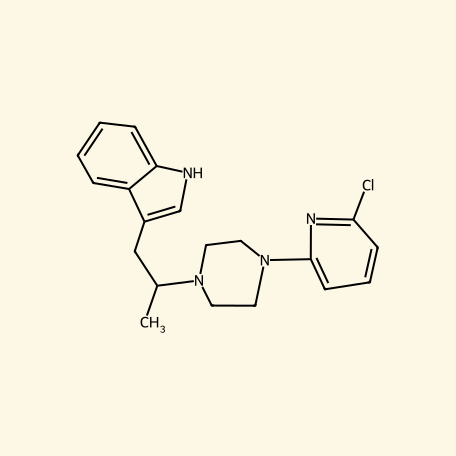 CC(Cc1c[nH]c2ccccc12)N1CCN(c2cccc(Cl)n2)CC1